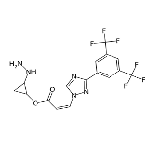 NNC1CC1OC(=O)/C=C\n1cnc(-c2cc(C(F)(F)F)cc(C(F)(F)F)c2)n1